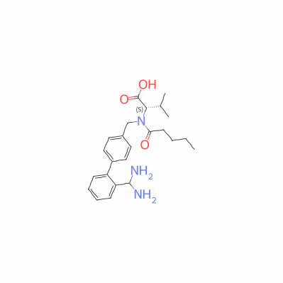 CCCCC(=O)N(Cc1ccc(-c2ccccc2C(N)N)cc1)[C@H](C(=O)O)C(C)C